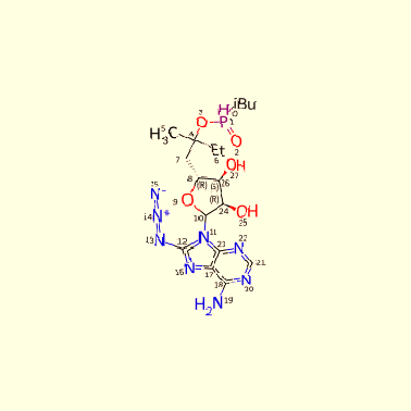 CCC(C)[PH](=O)OC(C)(CC)C[C@H]1OC(n2c(N=[N+]=[N-])nc3c(N)ncnc32)[C@H](O)[C@@H]1O